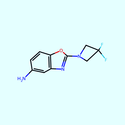 Nc1ccc2oc(N3CC(F)(F)C3)nc2c1